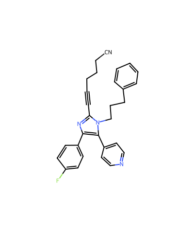 N#CCCCC#Cc1nc(-c2ccc(F)cc2)c(-c2ccncc2)n1CCCc1ccccc1